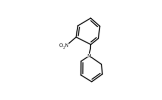 O=[N+]([O-])c1ccccc1N1C=CC=CC1